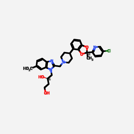 C[C@]1(c2ccc(Cl)cn2)Oc2cccc(C3CCN(Cc4nc5ccc(C(=O)O)cc5n4C[C@@H](O)CCO)CC3)c2O1